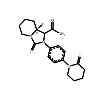 NC(=O)C1[C@H]2[CH]CCCN2C(=O)N1c1ccc(N2CCCCC2=O)cc1